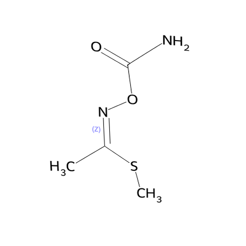 CS/C(C)=N\OC(N)=O